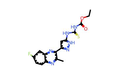 CCOC(=O)NC(=S)Nc1cc(-c2nc3cc(F)ccc3nc2C)n[nH]1